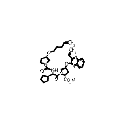 C=CCCCO[C@H]1CCN(C(=O)N[C@H](C(=O)N2CC(Oc3nc4ccccc4nc3C=C)C[C@H]2C(=O)O)C2CCCC2)C1